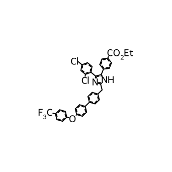 CCOC(=O)c1ccc(-c2[nH]c(Cc3ccc(-c4ccc(Oc5ccc(C(F)(F)F)cc5)cc4)cc3)nc2-c2ccc(Cl)cc2Cl)cc1